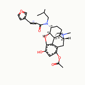 CC(=O)Oc1cc(O)c2c3c1C[C@@H]1[C@@H]4CC[C@@H](N(CC(C)C)C(=O)/C=C/c5ccoc5)[C@H](O2)[C@]34CCN1C